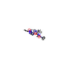 CC(C)(C)N.CC=CC=CC(=O)N1CCc2ccc(OCCc3nc(/C=C/C4CCCCC4)oc3C)cc2C1C(=O)O